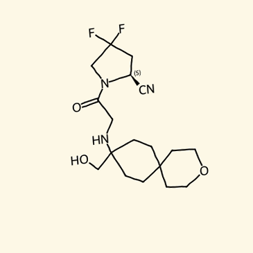 N#C[C@@H]1CC(F)(F)CN1C(=O)CNC1(CO)CCC2(CCOCC2)CC1